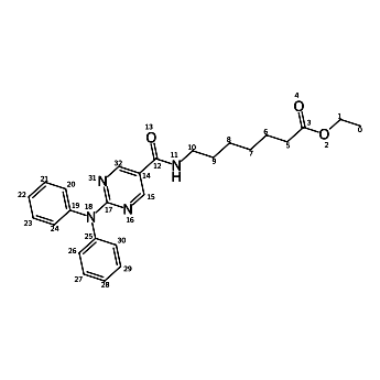 CCOC(=O)CCCCCCNC(=O)c1cnc(N(c2ccccc2)c2ccccc2)nc1